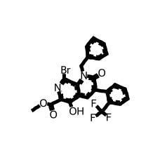 COC(=O)c1nc(Br)c2c(cc(-c3ccccc3C(F)(F)F)c(=O)n2Cc2ccccc2)c1O